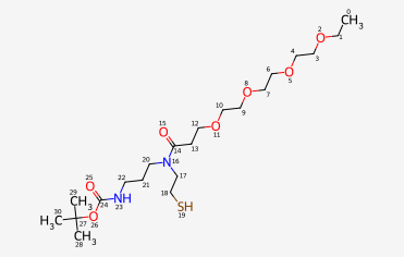 CCOCCOCCOCCOCCC(=O)N(CCS)CCCNC(=O)OC(C)(C)C